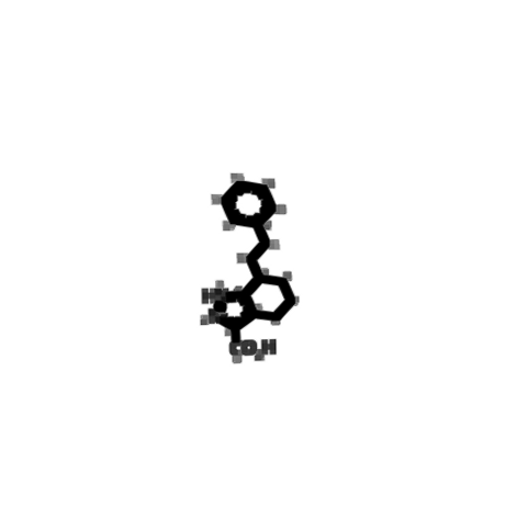 O=C(O)c1n[nH]c2c1CCCC2CCc1ccccc1